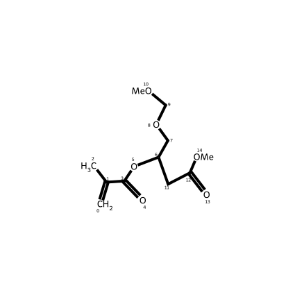 C=C(C)C(=O)OC(COCOC)CC(=O)OC